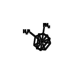 P[C]12[CH]3[CH]4[CH]5[C]1(P)[Fe]43521678[CH]2[CH]1[CH]6[CH]7[CH]28